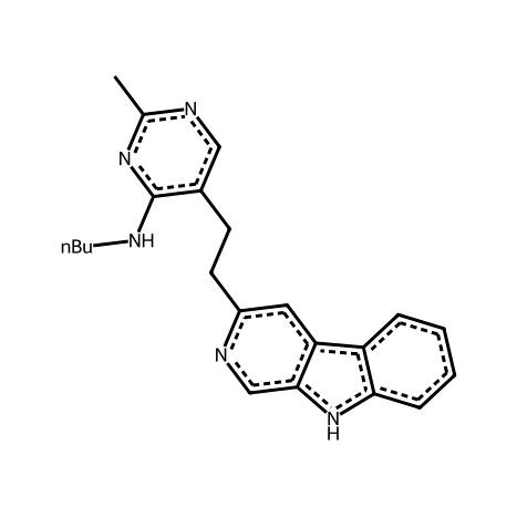 CCCCNc1nc(C)ncc1CCc1cc2c(cn1)[nH]c1ccccc12